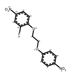 O=[N+]([O-])c1ccc(OCCOc2ccc([N+](=O)[O-])cc2F)cc1